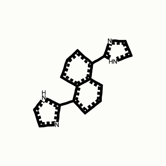 c1cc(-c2ncc[nH]2)c2cccc(-c3ncc[nH]3)c2c1